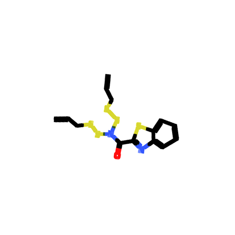 C=CCSSN(SSCC=C)C(=O)c1nc2ccccc2s1